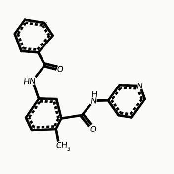 Cc1ccc(NC(=O)c2c[c]ccc2)cc1C(=O)Nc1cccnc1